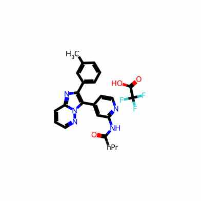 CCCC(=O)Nc1cc(-c2c(-c3cccc(C)c3)nc3cccnn23)ccn1.O=C(O)C(F)(F)F